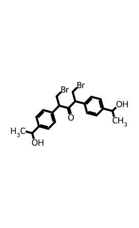 CC(O)c1ccc(C(CBr)C(=O)C(CBr)c2ccc(C(C)O)cc2)cc1